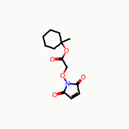 CC1(OC(=O)CON2C(=O)C=CC2=O)CCCCC1